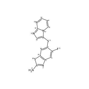 Nc1nc2cc(F)c(Sc3cnc4ncccn34)cc2s1